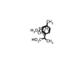 CS(=O)(=O)O.Cc1ccc(C(C)C(=O)O)cc1.O